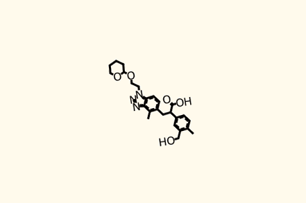 Cc1ccc(C(Cc2ccc3c(nnn3CCOC3CCCCO3)c2C)C(=O)O)cc1CO